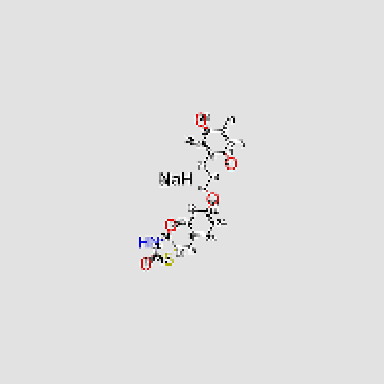 CC1=C(C)C(=O)C(CCCOc2ccc(CC3SC(=O)NC3=O)cc2)=C(C)C1=O.[NaH]